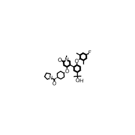 Cc1cc(F)cc(C)c1Oc1ccc(C(C)(C)O)cc1-c1cn(C)c(=O)cc1O[C@H]1CC[C@H](C(=O)N2CCCC2)CC1